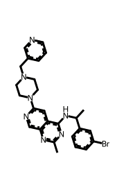 Cc1nc(NC(C)c2cccc(Br)c2)c2cc(N3CCN(Cc4cccnc4)CC3)ncc2n1